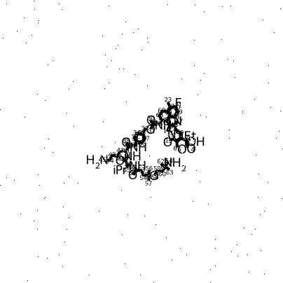 CC[C@@]1(O)C(=O)OCc2c1cc1n(c2=O)Cc2c-1nc1cc(F)c(C)c3c1c2[C@@H](NC(=O)OCc1ccc(NC(=O)[C@H](CCCCN)NC(=O)C(NC(=O)CCC(C)(C)OCCC(C)(C)N)C(C)C)cc1)CC3